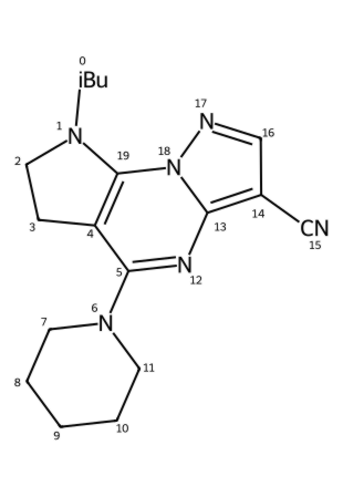 CCC(C)N1CCc2c(N3CCCCC3)nc3c(C#N)cnn3c21